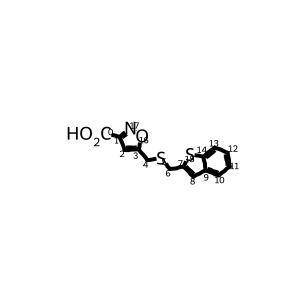 O=C(O)c1cc(CSCc2cc3ccccc3s2)on1